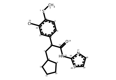 CSc1ccc(C(CC2CCCC2)C(=O)Nc2nccs2)cc1Cl